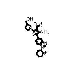 COC(=O)c1c(N2CCC(CO)C2)sc(-c2ccc3c(c2)ncn3[C@@H]2CCCC[C@H]2F)c1N